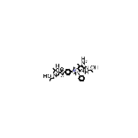 Cc1c(N)c(NCC(C)O)nc(Nc2ccccc2)c1/N=N/c1ccc(S(=O)(=O)CCN(CC(C)O)CC(C)O)cc1